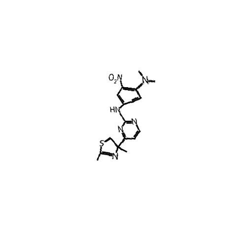 CC1=NC(C)(c2ccnc(Nc3ccc(N(C)C)c([N+](=O)[O-])c3)n2)CS1